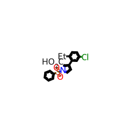 CCc1ccc(Cl)cc1-c1ccn(S(=O)(=O)c2ccccc2)c1C(=O)O